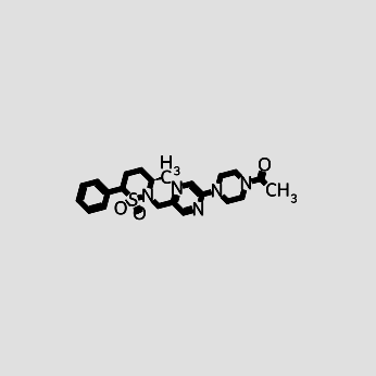 CC(=O)N1CCN(c2cnc(CN3[C@@H](C)CCC(c4ccccc4)S3(=O)=O)cn2)CC1